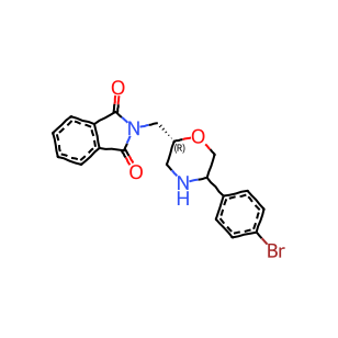 O=C1c2ccccc2C(=O)N1C[C@H]1CNC(c2ccc(Br)cc2)CO1